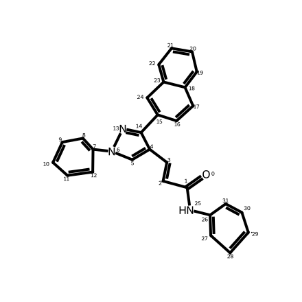 O=C(C=Cc1cn(-c2ccccc2)nc1-c1ccc2ccccc2c1)Nc1cc[c]cc1